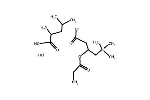 CC(C)CC(N)C(=O)O.CCC(=O)OC(CC(=O)[O-])C[N+](C)(C)C.Cl